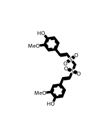 COc1cc(C=CS(=O)(=O)CS(=O)(=O)C=Cc2ccc(O)c(OC)c2)ccc1O